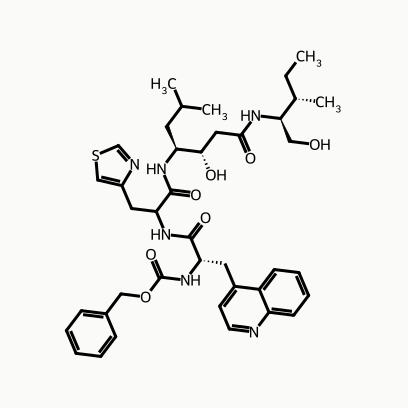 CC[C@H](C)[C@@H](CO)NC(=O)C[C@H](O)[C@H](CC(C)C)NC(=O)C(Cc1cscn1)NC(=O)[C@H](Cc1ccnc2ccccc12)NC(=O)OCc1ccccc1